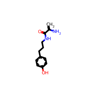 C=C(N)C(=O)NCCCc1ccc(O)cc1